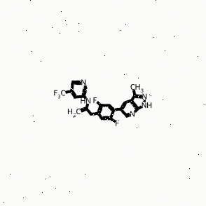 C=C(Cc1cc(F)c(-c2cnc3[nH]nc(C)c3c2)cc1F)Nc1cncc(C(F)(F)F)c1